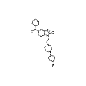 O=C(c1ccccc1)c1ccc2c(c1)[se]c(=O)n2CCN1CCN(c2ccc(F)cc2)CC1